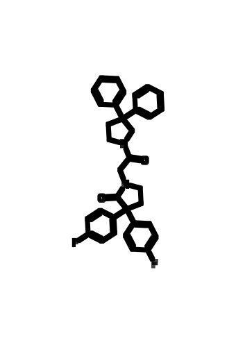 O=C(CN1CCC(c2ccc(F)cc2)(c2ccc(F)cc2)C1=O)N1CCC(c2ccccc2)(c2ccccc2)C1